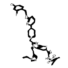 CCn1cncc1Cn1c(CN2CCC(c3cccc(OCc4ccc(Cl)cc4F)n3)CC2)nc2sc(C(=O)NS(=O)(=O)C(C)C)cc21